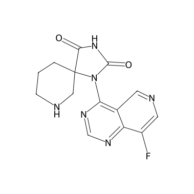 O=C1NC(=O)C2(CCCNC2)N1c1ncnc2c(F)cncc12